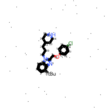 CC(C)(C)c1cccc2c1nc(COc1ccc(Cl)cc1)n2CCCC1CCNCC1